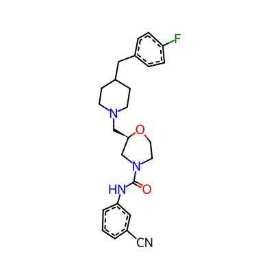 N#Cc1cccc(NC(=O)N2CCO[C@H](CN3CCC(Cc4ccc(F)cc4)CC3)C2)c1